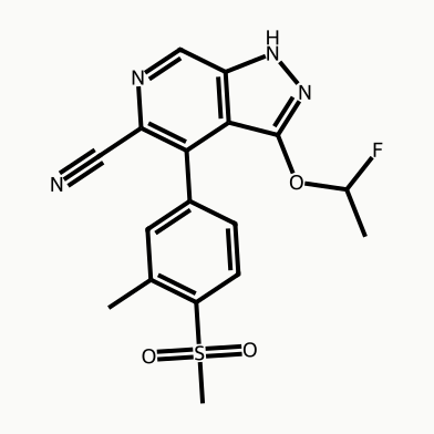 Cc1cc(-c2c(C#N)ncc3[nH]nc(OC(C)F)c23)ccc1S(C)(=O)=O